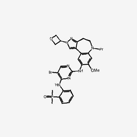 COc1cc2c(cc1Nc1ncc(Br)c(Nc3ccccc3P(C)(C)=O)n1)-c1cn(C3COC3)nc1CCN2C(C)C